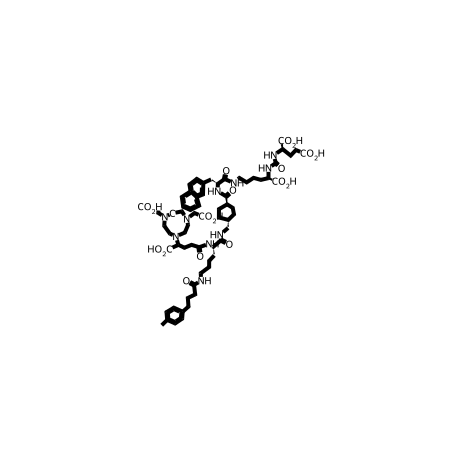 Cc1ccc(CCCC(=O)NCCCC[C@H](NC(=O)CCC(C(=O)O)N2CCN(CC(=O)O)CCN(CC(=O)O)CC2)C(=O)NC[C@H]2CC[C@H](C(=O)N[C@H](Cc3ccc4ccccc4c3)C(=O)NCCCC[C@@H](NC(=O)N[C@H](CCC(=O)O)C(=O)O)C(=O)O)CC2)cc1